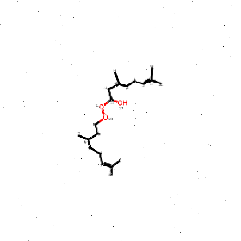 CC(C)=CCCC(C)CCOOC(O)CC(C)CCC=C(C)C